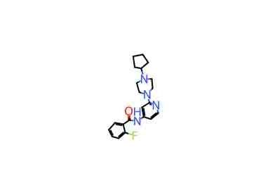 O=C(Nc1ccnc(N2CCN(C3CCCC3)CC2)c1)c1ccccc1F